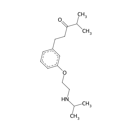 CC(C)NCCOc1cccc(CCC(=O)C(C)C)c1